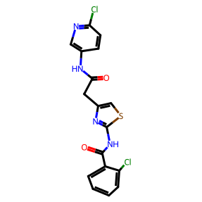 O=C(Cc1csc(NC(=O)c2ccccc2Cl)n1)Nc1ccc(Cl)nc1